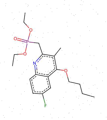 CCCCOc1c(C)c(CP(=O)(OCC)OCC)nc2ccc(F)cc12